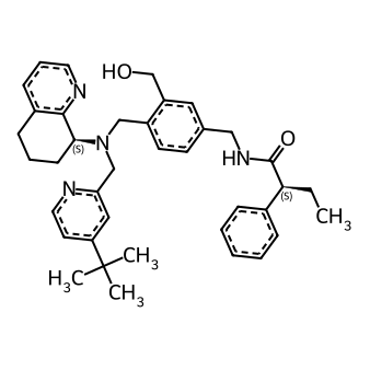 CC[C@H](C(=O)NCc1ccc(CN(Cc2cc(C(C)(C)C)ccn2)[C@H]2CCCc3cccnc32)c(CO)c1)c1ccccc1